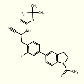 CC(=O)N1CCc2cc(-c3ccc(C[C@@H](C#N)NC(=O)OC(C)(C)C)c(F)c3)ccc21